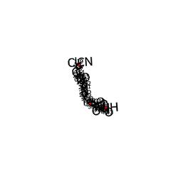 CC1(C)[C@H](Oc2ccc(C#N)c(Cl)c2)C(C)(C)[C@H]1N1Cc2cc(N3CCC(CN4Cc5cc6c(cc5C4)C(=O)N(C4CCC(=O)NC4=O)C6=O)CC3)ccc2C1=O